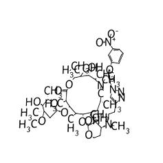 CC[C@H]1OC(=O)[C@H](C)[C@@H](O[C@H]2C[C@@](C)(OC)[C@@H](O)[C@H](C)O2)[C@H](C)[C@@H](O[C@@H]2OCC[C@H](N(C)CCc3cn(CCOc4cccc([N+](=O)[O-])c4)nn3)[C@H]2O)[C@](C)(O)C[C@@H](C)CN(C)[C@H](C)[C@@H](O)[C@]1(C)O